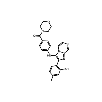 Cc1ccc(-c2nc3cnccn3c2Nc2ccc(C(=O)N3CCOCC3)cc2)c(S)c1